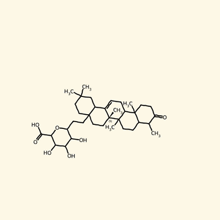 CC1C(=O)CCC2(C)C1CCC1(C)C2CC=C2C3CC(C)(C)CCC3(CCC3OC(C(=O)O)C(O)C(O)C3O)CC[C@]21C